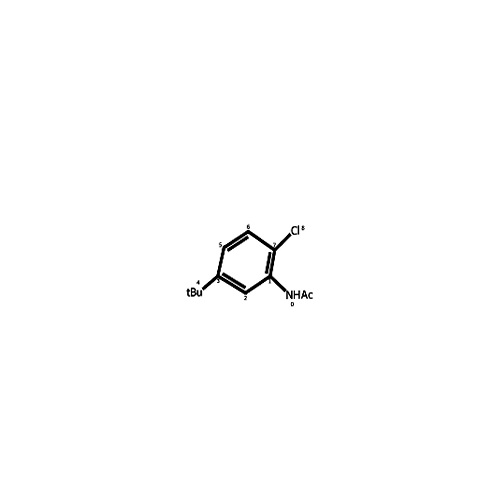 CC(=O)Nc1cc(C(C)(C)C)ccc1Cl